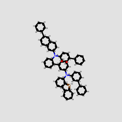 c1ccc(-c2ccc(N(c3ccc4cc(-c5ccccc5)ccc4c3)c3ccccc3-c3cccc(N(c4cccc(-c5ccccc5)c4)c4cccc5c4sc4ccccc45)c3)cc2)cc1